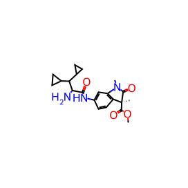 COC(=O)[C@]1(C)C(=O)N(C)c2cc(NC(=O)[C@@H](N)C(C3CC3)C3CC3)ccc21